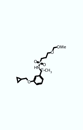 COCOCCCS(=O)(=O)N[C@H](C)c1cccc(OCC2CC2)c1